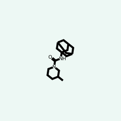 CC1CCCN(C(=O)NC23CC4CC(CC(C4)C2)C3)C1